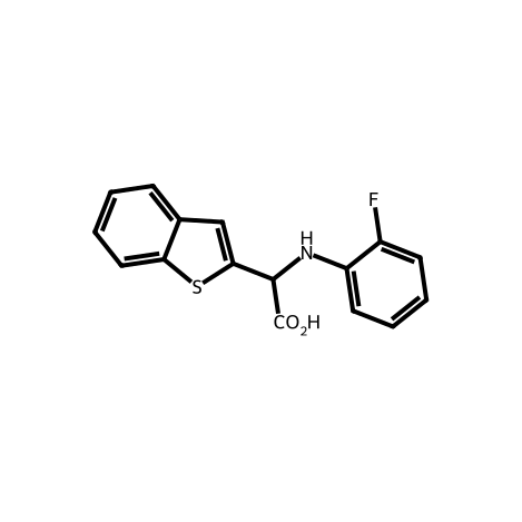 O=C(O)C(Nc1ccccc1F)c1cc2ccccc2s1